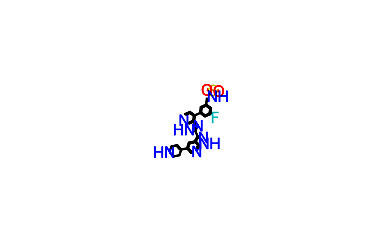 CS(=O)(=O)NCc1cc(F)cc(-c2ccnc3[nH]c(-c4n[nH]c5ncc(C6=CCNCC6)cc45)nc23)c1